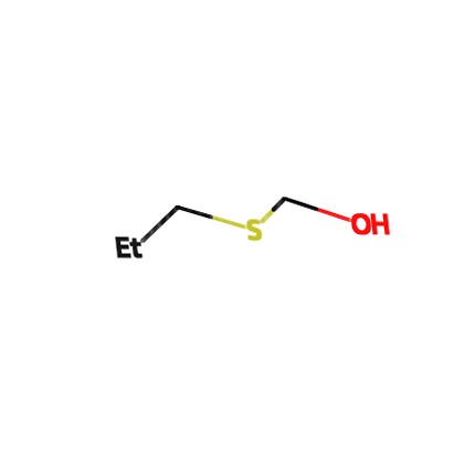 CCCSCO